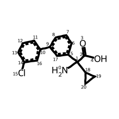 NC(C(=O)O)(c1cccc(-c2cccc(Cl)c2)c1)C1CC1